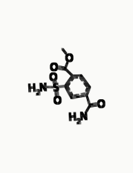 COC(=O)c1ccc(C(N)=O)cc1S(N)(=O)=O